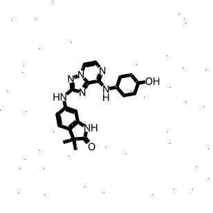 CC1(C)C(=O)Nc2cc(Nc3nc4c(NC5CCC(O)CC5)nccn4n3)ccc21